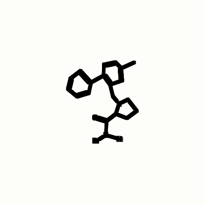 CCN(CC)C(=O)C1CCCN1Cc1cc(C)ccc1-c1ccccc1